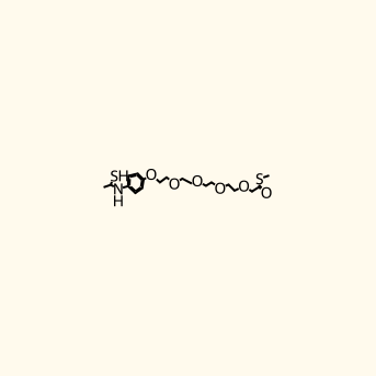 CSC(=O)COCCOCCOCCOCCOc1ccc(NC(C)S)cc1